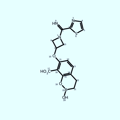 N=C(c1nccs1)N1CC(Oc2ccc3c(c2C(=O)O)OB(O)CC3)C1